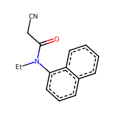 CCN(C(=O)CC#N)c1cccc2ccccc12